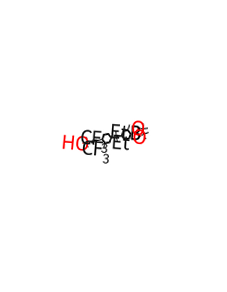 CCC(CC)(c1ccc(C#CC(O)(C(F)(F)F)C(F)(F)F)c(C)c1)c1ccc(B2OC(C)(C)C(C)(C)O2)c(C)c1